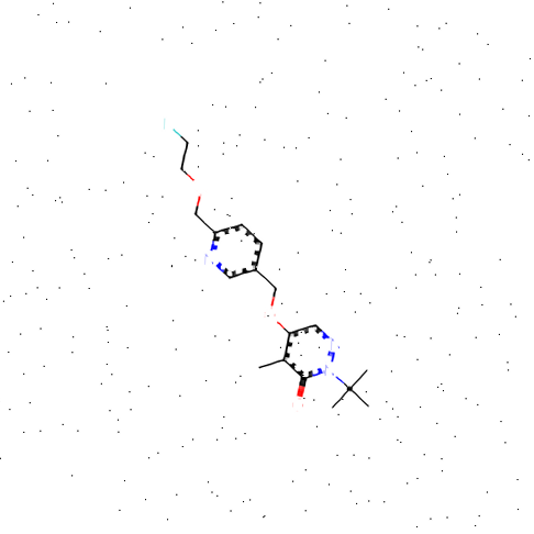 Cc1c(OCc2ccc(COCCF)nc2)cnn(C(C)(C)C)c1=O